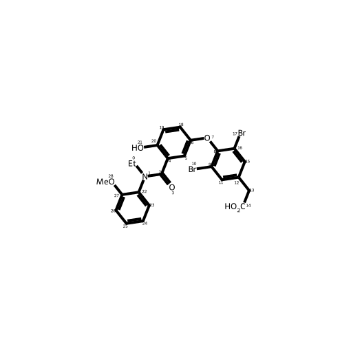 CCN(C(=O)c1cc(Oc2c(Br)cc(CC(=O)O)cc2Br)ccc1O)c1ccccc1OC